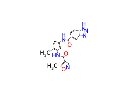 Cc1ccc(NC(=O)c2ccc3[nH]nnc3c2)cc1NC(=O)c1cnoc1C